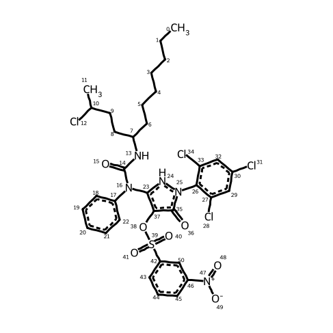 CCCCCCCC(CCC(C)Cl)NC(=O)N(c1ccccc1)c1[nH]n(-c2c(Cl)cc(Cl)cc2Cl)c(=O)c1OS(=O)(=O)c1cccc([N+](=O)[O-])c1